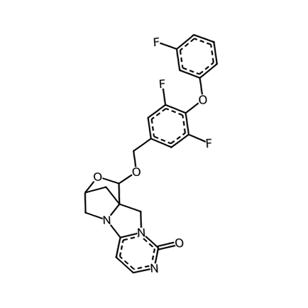 O=c1nccc2n1CC13CC(CN21)OC3OCc1cc(F)c(Oc2cccc(F)c2)c(F)c1